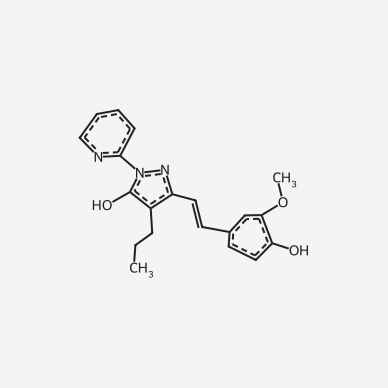 CCCc1c(C=Cc2ccc(O)c(OC)c2)nn(-c2ccccn2)c1O